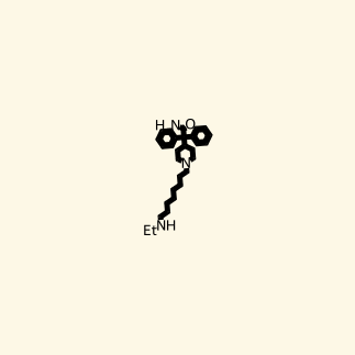 CCNCCCCCCCCN1CCC(C(C(N)=O)(c2ccccc2)c2ccccc2)CC1